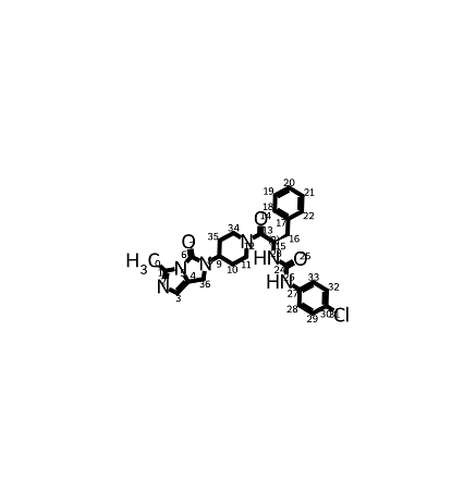 Cc1ncc2n1C(=O)N(C1CCN(C(=O)[C@@H](Cc3ccccc3)NC(=O)Nc3ccc(Cl)cc3)CC1)C2